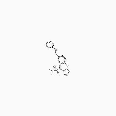 CC(C)S(=O)(=O)NC1COCC1Oc1ccc(COc2ccccc2)cc1